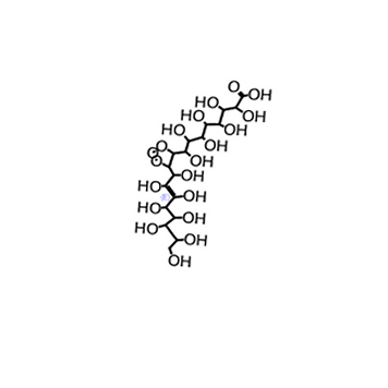 O=C(O)C(O)C(O)C(O)C(O)C(O)C(O)C(O)C1OOOC1C(O)/C(O)=C(\O)C(O)C(O)C(O)C(O)CO